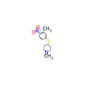 Cc1cc(SC2CCN(C)CC2)ccc1[N+](=O)[O-]